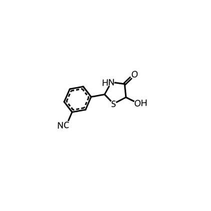 N#Cc1cccc(C2NC(=O)C(O)S2)c1